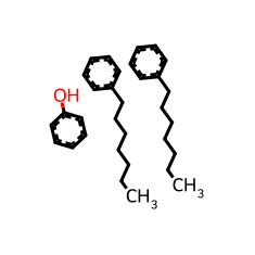 CCCCCCCc1ccccc1.CCCCCCCc1ccccc1.Oc1ccccc1